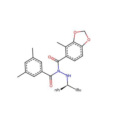 CCC[C@@H](NN(C(=O)c1cc(C)cc(C)c1)C(=O)c1ccc2c(c1C)OCO2)C(C)(C)C